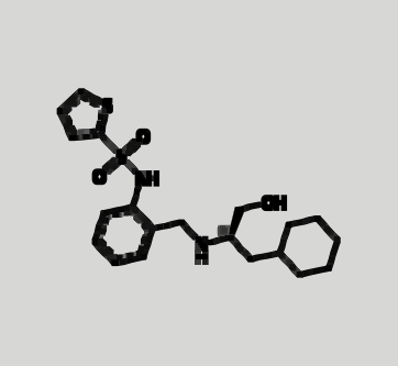 O=S(=O)(Nc1ccccc1CN[C@@H](CO)CC1CCCCC1)c1cccs1